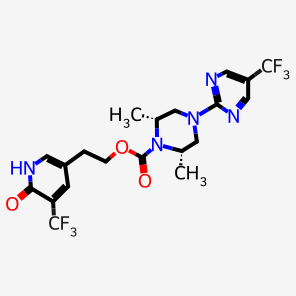 C[C@@H]1CN(c2ncc(C(F)(F)F)cn2)C[C@H](C)N1C(=O)OCCc1c[nH]c(=O)c(C(F)(F)F)c1